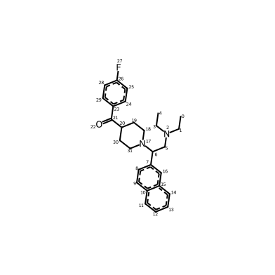 CCN(CC)CC(c1ccc2ccccc2c1)N1CCC(C(=O)c2ccc(F)cc2)CC1